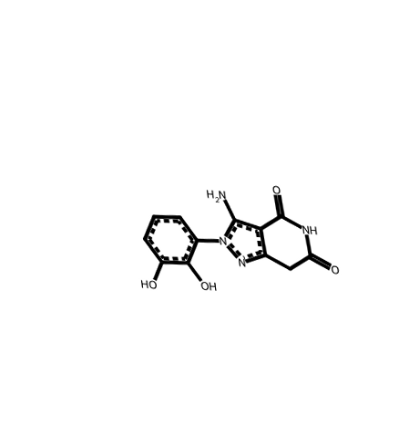 Nc1c2c(nn1-c1cccc(O)c1O)CC(=O)NC2=O